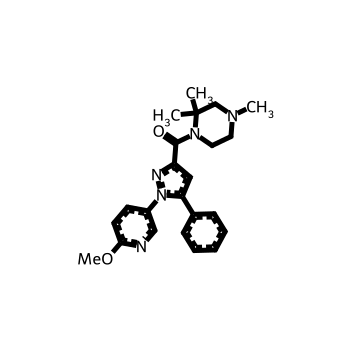 COc1ccc(-n2nc(C(=O)N3CCN(C)CC3(C)C)cc2-c2ccccc2)cn1